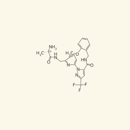 COc1ccccc1CNC(=O)c1cc(C(F)(F)F)nn1-c1cccc(CNC(=O)[C@H](C)N)n1